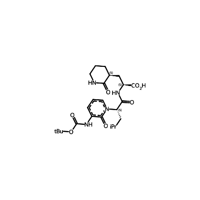 CC(C)C[C@@H](C(=O)N[C@@H](C[C@@H]1CCCNC1=O)C(=O)O)n1cccc(NC(=O)OC(C)(C)C)c1=O